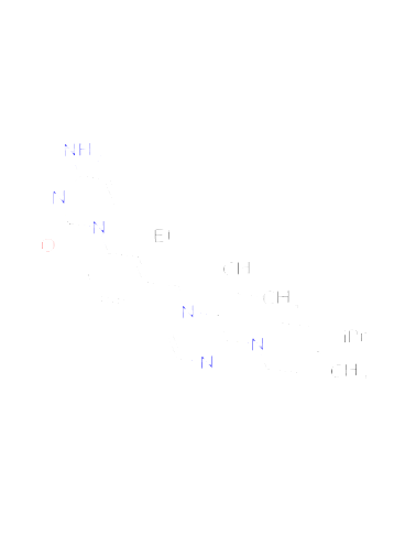 CCc1c(CN2C=CN=C(N3CCC(C)(C(C)C)CC3)C2=C(C)C)cccc1-n1ccc(N)nc1=O